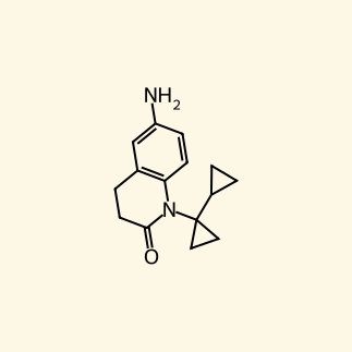 Nc1ccc2c(c1)CCC(=O)N2C1(C2CC2)CC1